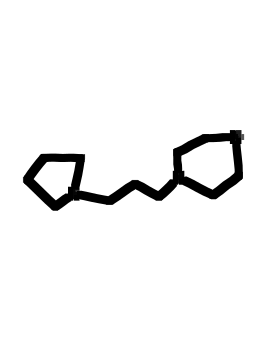 C1CCN(CCCN2CC[N]CC2)C1